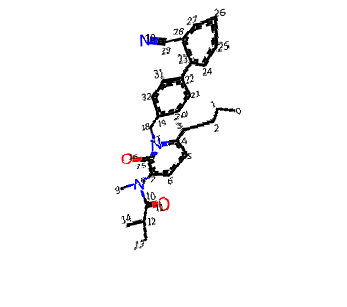 CCCCc1ccc(N(C)C(=O)C(C)C)c(=O)n1Cc1ccc(-c2ccccc2C#N)cc1